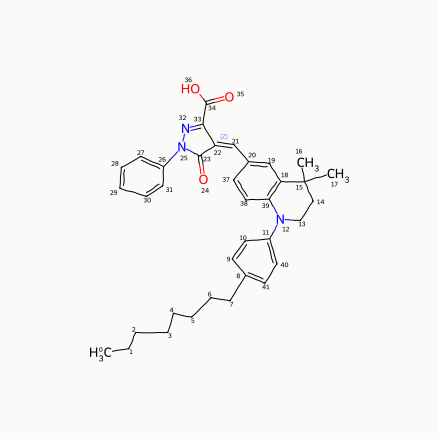 CCCCCCCCc1ccc(N2CCC(C)(C)c3cc(/C=C4\C(=O)N(c5ccccc5)N=C4C(=O)O)ccc32)cc1